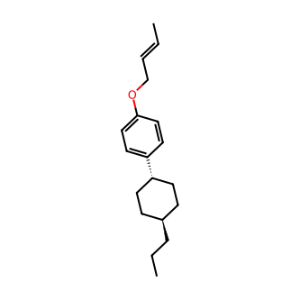 CC=CCOc1ccc([C@H]2CC[C@H](CCC)CC2)cc1